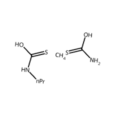 C.CCCNC(O)=S.NC(O)=S